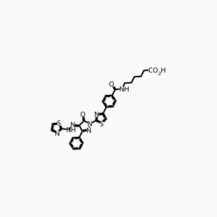 O=C(O)CCCCCNC(=O)c1ccc(-c2csc(N3N=C(c4ccccc4)/C(=N\Nc4nccs4)C3=O)n2)cc1